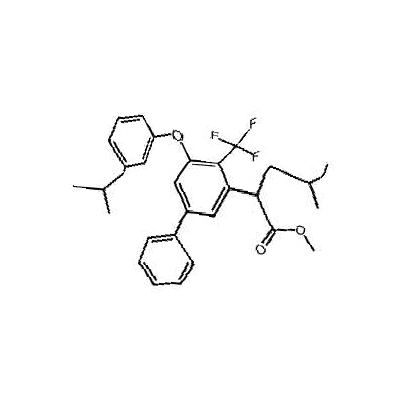 COC(=O)C(CC(C)C)c1cc(-c2ccccc2)cc(Oc2cccc(C(C)C)c2)c1C(F)(F)F